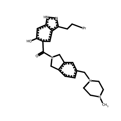 CC(C)CCc1n[nH]c2cc(O)c(C(=O)N3Cc4ccc(CN5CCN(C)CC5)cc4C3)cc12